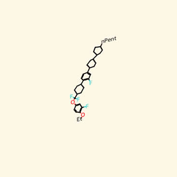 CCCCCC1CCC(C2CCC(c3ccc(C4CCC(C(F)(F)Oc5ccc(OCC)c(F)c5)CC4)c(F)c3)CC2)CC1